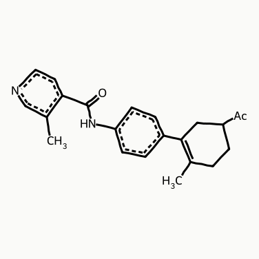 CC(=O)C1CCC(C)=C(c2ccc(NC(=O)c3ccncc3C)cc2)C1